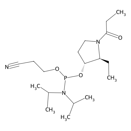 CCC(=O)N1CC[C@@H](OP(OCCC#N)N(C(C)C)C(C)C)[C@@H]1CC